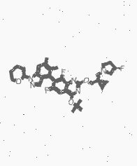 Cc1cc2c(cnn2C2CCCCO2)c(-c2c(F)cc3c(OC(C)(C)C)nc(OCC4(CN5CC[C@@H](F)C5)CC4)nc3c2F)c1C